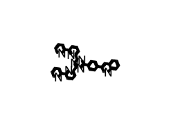 c1ccc(-c2cccc(-c3nc(-c4ccc(-c5cnc6ccccc6c5)cc4)nc(-c4cccc(-c5ccccn5)n4)n3)n2)nc1